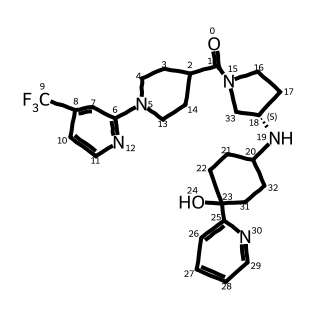 O=C(C1CCN(c2cc(C(F)(F)F)ccn2)CC1)N1CC[C@H](NC2CCC(O)(c3ccccn3)CC2)C1